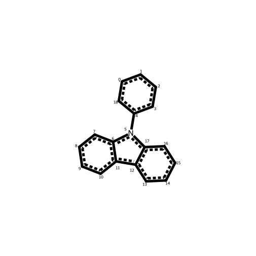 [c]1cccc(-n2c3ccccc3c3ccccc32)c1